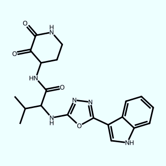 CC(C)C(Nc1nnc(-c2c[nH]c3ccccc23)o1)C(=O)NC1CCNC(=O)C1=O